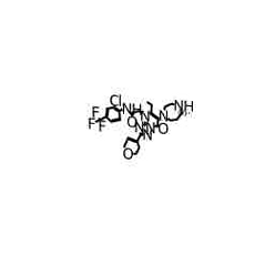 CCc1c(N2CCN[C@H](C)CC2)c(=O)n2nc(C3=CCOCC3)nc2n1CC(=O)Nc1ccc(C(F)(F)F)cc1Cl